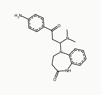 CN(C)C(CC(=O)c1ccc(N)cc1)N1CCC(=O)Nc2ccccc21